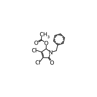 CC(=O)OC1C(Cl)=C(Cl)C(=O)N1Cc1ccccc1